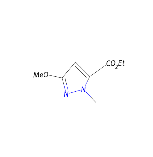 CCOC(=O)c1cc(OC)nn1C